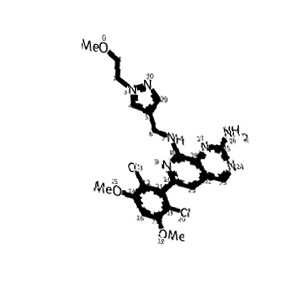 COCCn1cc(CNc2nc(-c3c(Cl)c(OC)cc(OC)c3Cl)cc3cnc(N)nc23)cn1